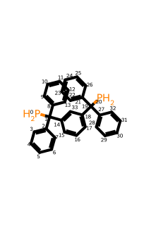 PC(c1ccccc1)(c1ccccc1)c1cccc(C(P)(c2ccccc2)c2ccccc2)c1